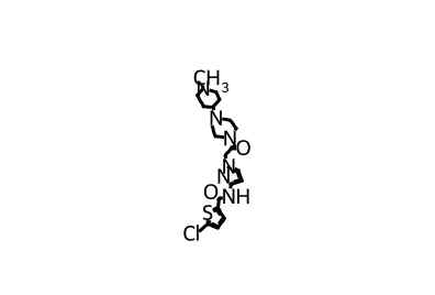 CN1CCC(N2CCN(C(=O)Cn3ccc(NC(=O)c4ccc(Cl)s4)n3)CC2)CC1